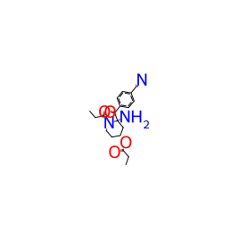 CCC(=O)OC1CCN(C(=O)CC)C(N)(C(=O)c2ccc(C#N)cc2)C1